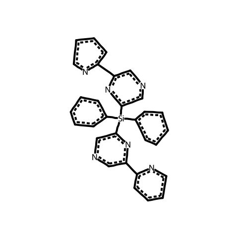 c1ccc([Si](c2ccccc2)(c2cncc(-c3ccccn3)n2)c2cncc(-c3ccccn3)n2)cc1